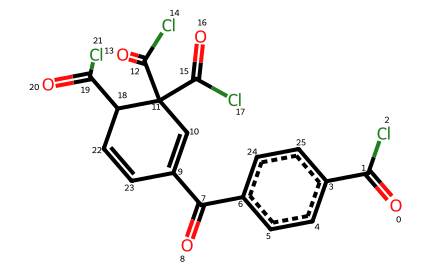 O=C(Cl)c1ccc(C(=O)C2=CC(C(=O)Cl)(C(=O)Cl)C(C(=O)Cl)C=C2)cc1